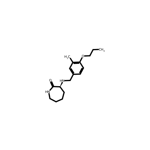 CCCOc1ccc(CN[C@H]2CCCCNC2=O)cc1C